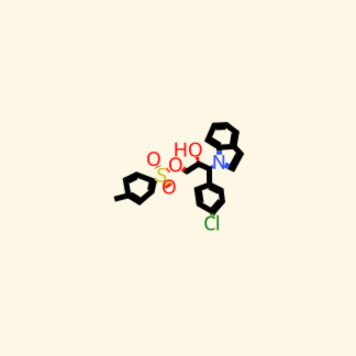 Cc1ccc(S(=O)(=O)OC[C@@H](O)[C@H](c2ccc(Cl)cc2)n2ccc3ccccc32)cc1